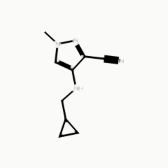 Cn1cc(NCC2CC2)c(C#N)n1